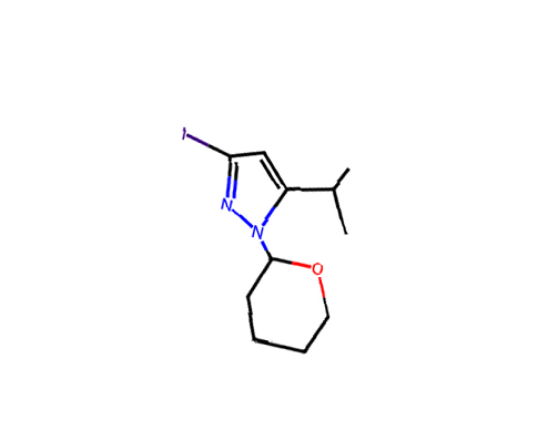 CC(C)c1cc(I)nn1C1CCCCO1